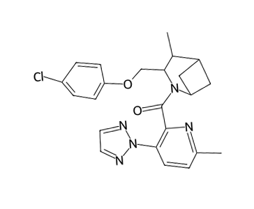 Cc1ccc(-n2nccn2)c(C(=O)N2C3CC(C3)C(C)C2COc2ccc(Cl)cc2)n1